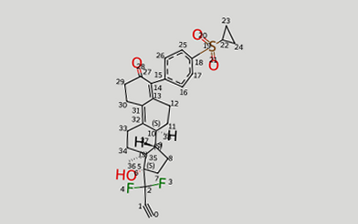 C#CC(F)(F)[C@]1(O)CC[C@H]2[C@@H]3CCC4=C(c5ccc(S(=O)(=O)C6CC6)cc5)C(=O)CCC4=C3CC[C@@]21C